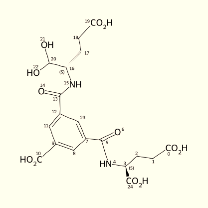 O=C(O)CC[C@H](NC(=O)c1cc(C(=O)O)cc(C(=O)N[C@@H](CCC(=O)O)C(O)O)c1)C(=O)O